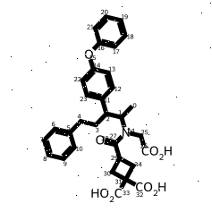 CC(C(CCc1ccccc1)c1ccc(Oc2ccccc2)cc1)N(CC(=O)O)C(=O)C1CC(C(=O)O)(C(=O)O)C1